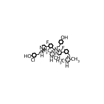 C[C@@H]1CN(C(c2ccc(F)c(-c3ccnc(NCCc4ccc(O)c(Cl)c4)n3)c2)N(CCc2ccc(O)cc2)c2nccc(-c3cc(CN4C[C@H](C)NC[C@@H]4C)ccc3F)n2)[C@@H](C)CN1